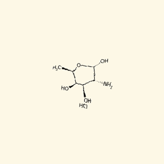 C[C@H]1OC(O)[C@H](N)[C@@H](O)[C@H]1O.Cl